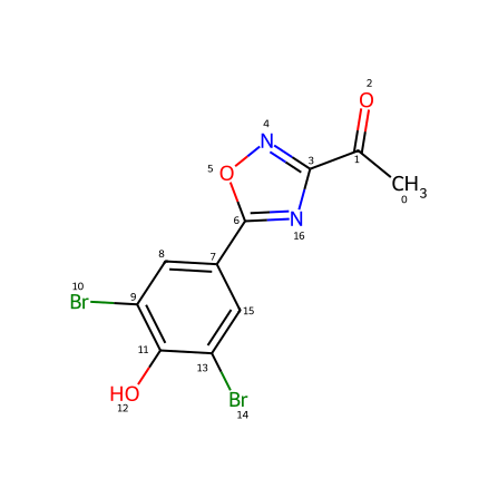 CC(=O)c1noc(-c2cc(Br)c(O)c(Br)c2)n1